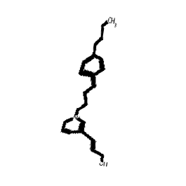 CCCCc1ccc(CCCC[n+]2cccc(CCCO)c2)cc1